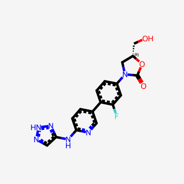 O=C1O[C@@H](CO)CN1c1ccc(-c2ccc(Nc3cn[nH]n3)nc2)c(F)c1